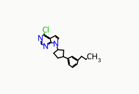 CCCc1cccc(C2CCC(n3ccc4c(Cl)ncnc43)C2)c1